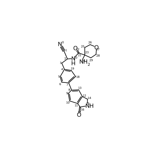 N#CC(Cc1ccc(-c2ccc3c(c2)CNC3=O)cc1)NC(=O)C1(N)CCOCC1